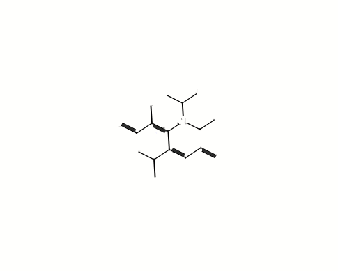 C=C/C=C(\C(=C(\C)C=C)N(CC)C(C)C)C(C)C